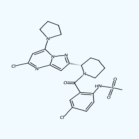 CS(=O)(=O)Nc1ccc(Cl)cc1C(=O)N1CCCC[C@H]1c1cc2nc(Cl)cc(N3CCCC3)n2n1